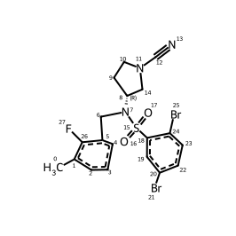 Cc1cccc(CN([C@@H]2CCN(C#N)C2)S(=O)(=O)c2cc(Br)ccc2Br)c1F